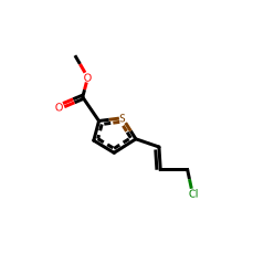 COC(=O)c1ccc(/C=C/CCl)s1